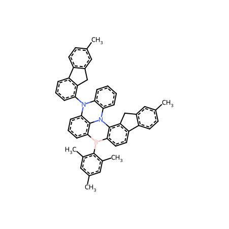 Cc1cc(C)c(B2c3cccc4c3N(c3ccccc3N4c3cccc4c3Cc3cc(C)ccc3-4)c3c2ccc2c3Cc3cc(C)ccc3-2)c(C)c1